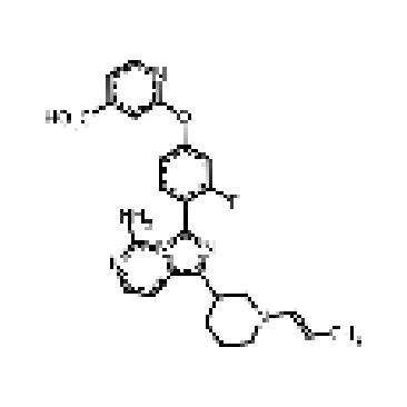 CC=CN1CCCC(c2nc(-c3ccc(Oc4cc(C(=O)O)ccn4)cc3F)n3c(N)nccc23)C1